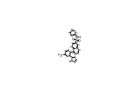 Cn1nccc1-c1cc(C(F)(F)F)ccc1-c1nccc2cc(S(=O)(=O)Nc3ncns3)ccc12